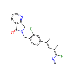 C=N/C(F)=C(C)\C=C(/C)c1ccc(CN2Cc3ncccc3C2=O)c(F)c1